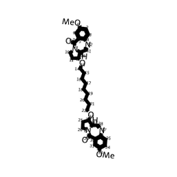 COc1ccc2c(c1)C(=O)N1CCC(OCCCCCCCCCOC3CCN4C(=O)c5cc(OC)ccc5N=C[C@H]34)[C@H]1C=N2